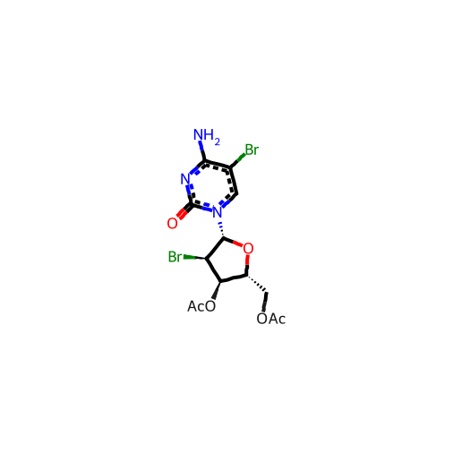 CC(=O)OC[C@H]1O[C@@H](n2cc(Br)c(N)nc2=O)[C@H](Br)[C@@H]1OC(C)=O